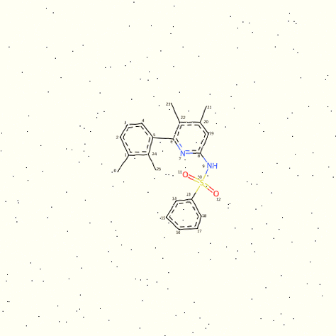 Cc1cccc(-c2nc(NS(=O)(=O)c3ccccc3)cc(C)c2C)c1C